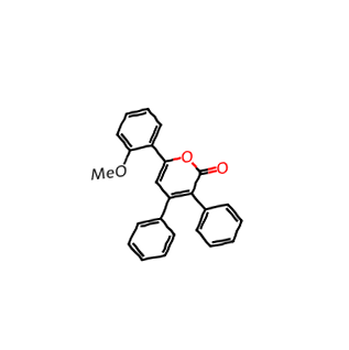 COc1ccccc1-c1cc(-c2ccccc2)c(-c2ccccc2)c(=O)o1